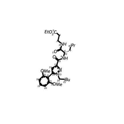 CCOC(=O)CCNC(=O)[C@H](CC(C)C)NC(=O)c1cc(-c2c(OC)cccc2OC)n(CC(C)CC)n1